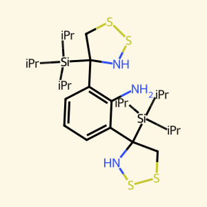 CC(C)[Si](C(C)C)(C(C)C)C1(c2cccc(C3([Si](C(C)C)(C(C)C)C(C)C)CSSN3)c2N)CSSN1